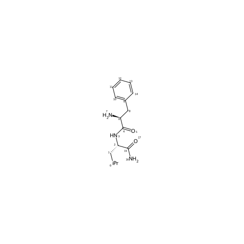 CC(C)C[C@H](NC(=O)[C@@H](N)Cc1ccccc1)C(N)=O